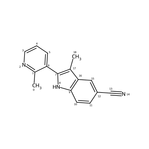 Cc1ncccc1-c1[nH]c2ccc(C#N)cc2c1C